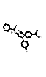 N#CC1(C(CCNC(=O)c2ccccc2)c2ccc(F)cc2)C=CC(C(N)=O)C=C1